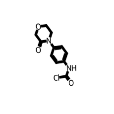 O=C(Cl)Nc1ccc(N2CCOCC2=O)cc1